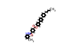 CCCCC[C@H]1CC[C@H](c2ccc(-c3ccc(OC(=O)[C@H]4CC[C@H](C(=O)Nc5cc[c]c(C)c5)CC4)cc3)cc2)CC1